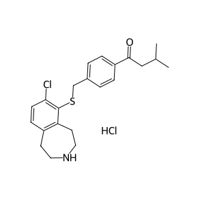 CC(C)CC(=O)c1ccc(CSc2c(Cl)ccc3c2CCNCC3)cc1.Cl